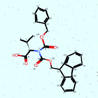 CC(C)[C@@H](C(=O)O)N(C(=O)OCc1ccccc1)C(=O)OCC1c2ccccc2-c2ccccc21